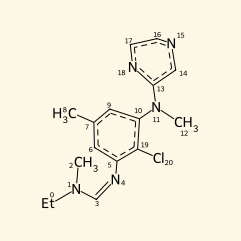 CCN(C)/C=N\c1cc(C)cc(N(C)c2cnccn2)c1Cl